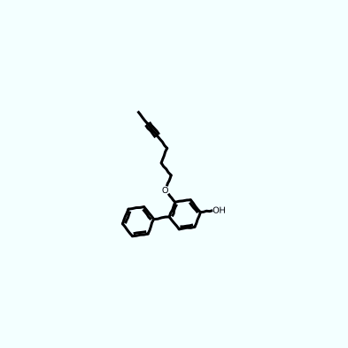 CC#CCCCOc1cc(O)ccc1-c1ccccc1